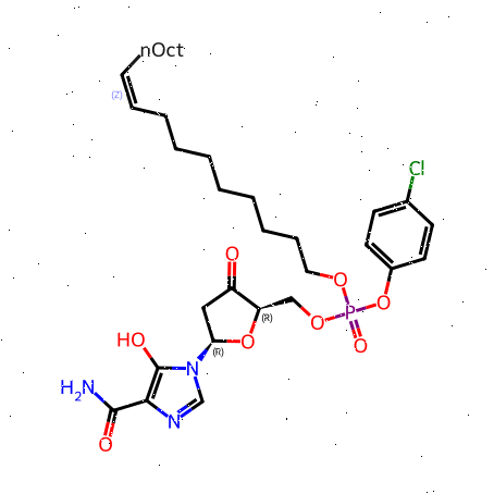 CCCCCCCC/C=C\CCCCCCCCOP(=O)(OC[C@H]1O[C@@H](n2cnc(C(N)=O)c2O)CC1=O)Oc1ccc(Cl)cc1